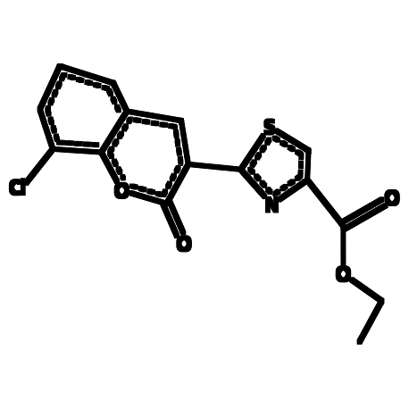 CCOC(=O)c1csc(-c2cc3cccc(Cl)c3oc2=O)n1